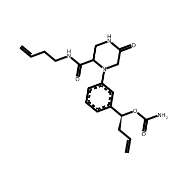 C=CCCNC(=O)C1CNC(=O)CN1c1cccc([C@H](CC=C)OC(N)=O)c1